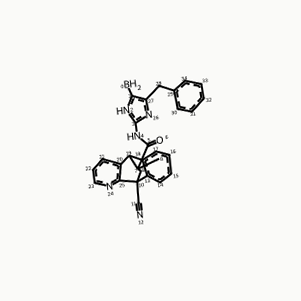 Bc1[nH]c(NC(=O)C2(C)CC3(C#N)c4ccccc4C2c2cccnc23)nc1Cc1ccccc1